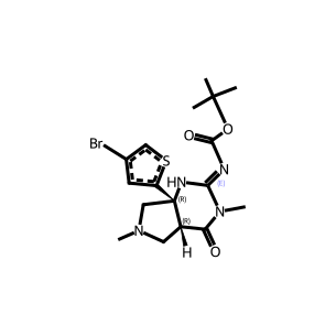 CN1C[C@H]2C(=O)N(C)/C(=N/C(=O)OC(C)(C)C)N[C@@]2(c2cc(Br)cs2)C1